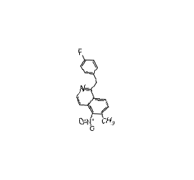 Cc1ccc2c(Cc3ccc(F)cc3)nccc2c1[N+](=O)[O-]